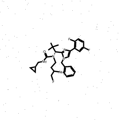 CC(C)(C)[C@H](c1nc(-c2cc(F)ccc2F)cn1Cc1ccccc1)N(CCC(N)CF)C(=O)NCC1CC1